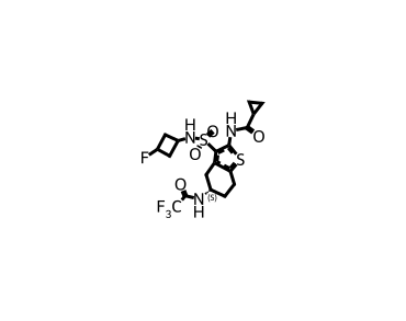 O=C(Nc1sc2c(c1S(=O)(=O)NC1CC(F)C1)C[C@@H](NC(=O)C(F)(F)F)CC2)C1CC1